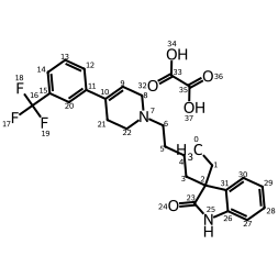 CCC1(CCCCN2CC=C(c3cccc(C(F)(F)F)c3)CC2)C(=O)Nc2ccccc21.O=C(O)C(=O)O